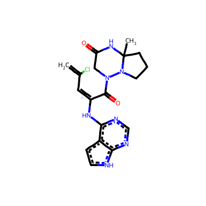 C=C(Cl)/C=C(/Nc1ncnc2[nH]ccc12)C(=O)N1CC(=O)NC2(C)CCCN12